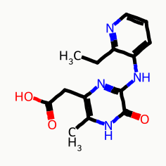 CCc1ncccc1Nc1nc(CC(=O)O)c(C)[nH]c1=O